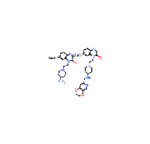 COc1ccc2ncc(=O)n(CCN3CCC(N)CC3)c2c1.COc1ccc2ncc(=O)n(CCN3CCC(NCc4cc5c(cn4)OCCO5)CC3)c2c1